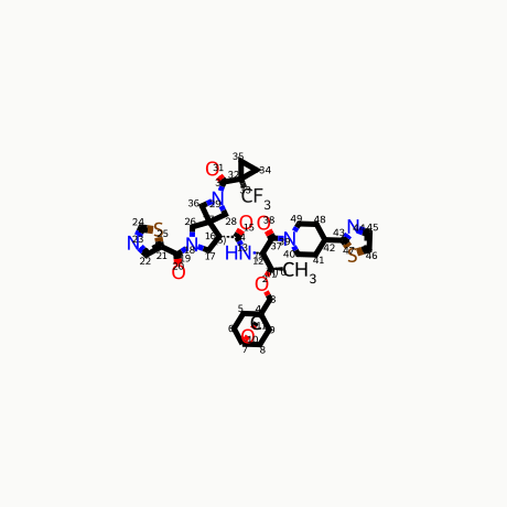 C[C@@H](OCC12CCC(CC1)OC2)[C@H](NC(=O)[C@@H]1CN(C(=O)c2cncs2)CC12CN(C(=O)C1(C(F)(F)F)CC1)C2)C(=O)N1CCC(c2nccs2)CC1